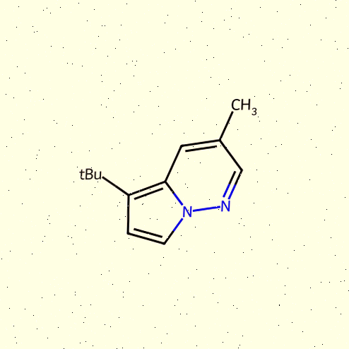 Cc1cnn2ccc(C(C)(C)C)c2c1